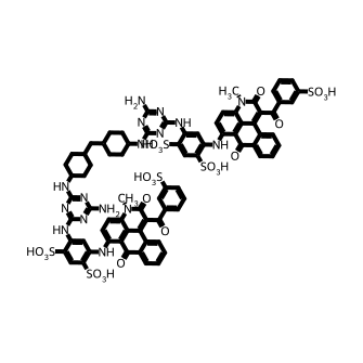 Cn1c(=O)c(C(=O)c2cccc(S(=O)(=O)O)c2)c2c3c(c(Nc4cc(Nc5nc(N)nc(NC6CCC(CC7CCC(Nc8nc(N)nc(Nc9cc(Nc%10ccc%11c%12c%10C(=O)c%10ccccc%10-c%12c(C(=O)c%10cccc(S(=O)(=O)O)c%10)c(=O)n%11C)c(S(=O)(=O)O)cc9S(=O)(=O)O)n8)CC7)CC6)n5)c(S(=O)(=O)O)cc4S(=O)(=O)O)ccc31)C(=O)c1ccccc1-2